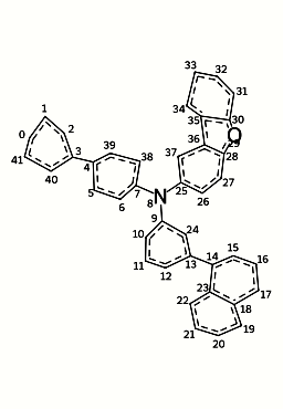 c1ccc(-c2ccc(N(c3cccc(-c4cccc5ccccc45)c3)c3ccc4oc5ccccc5c4c3)cc2)cc1